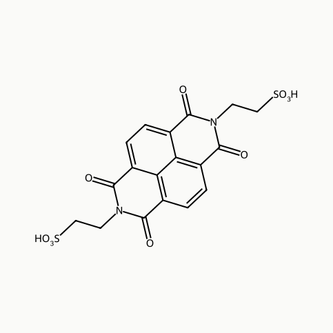 O=C1c2ccc3c4c(ccc(c24)C(=O)N1CCS(=O)(=O)O)C(=O)N(CCS(=O)(=O)O)C3=O